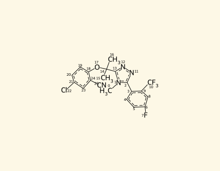 Cn1c(-c2ccc(F)cc2C(F)(F)F)nnc1C(C)(C)Oc1ccc(Cl)cc1C#N